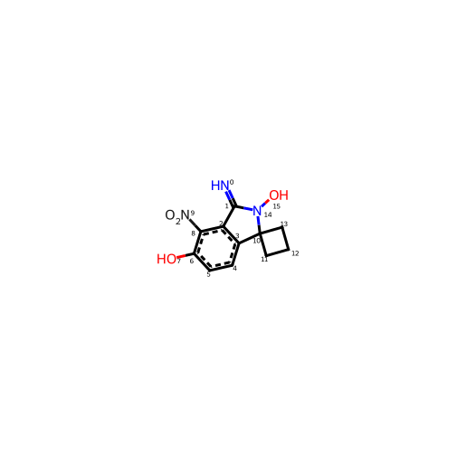 N=C1c2c(ccc(O)c2[N+](=O)[O-])C2(CCC2)N1O